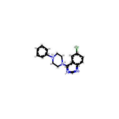 Brc1ccc2ncnc(N3CCN(c4ccccc4)CC3)c2c1